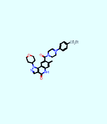 CCOC(=O)c1ccc(N2CCN(C(=O)c3cc4c(cc3C)[nH]c(=O)c3cnn(C5CCOCC5)c34)CC2)cc1